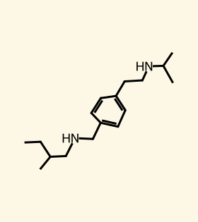 CCC(C)CNCc1ccc(CCNC(C)C)cc1